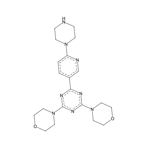 c1cc(N2CCNCC2)ncc1-c1nc(N2CCOCC2)nc(N2CCOCC2)n1